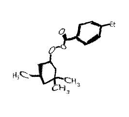 CCc1ccc(C(=O)OO[C]2CC(C)CC(C)(C)C2)cc1